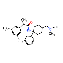 CC(C(=O)NC1(c2ccccc2)CCC(CN(C)C)CC1)c1cc(C(F)(F)F)cc(C(F)(F)F)c1